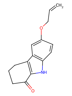 C=CCOc1ccc2[nH]c3c(c2c1)CCCC3=O